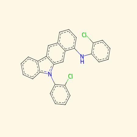 Clc1ccccc1Nc1cccc2cc3c4ccccc4n(-c4ccccc4Cl)c3cc12